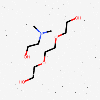 CN(C)CCO.OCCOCCOCCO